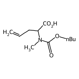 C=CCC(C(=O)O)N(C)C(=O)OCCCC